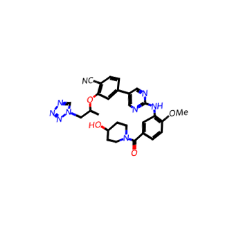 COc1ccc(C(=O)N2CCC(O)CC2)cc1Nc1ncc(-c2ccc(C#N)c(OC(C)Cn3cnnn3)c2)cn1